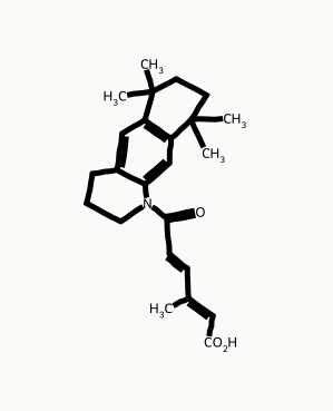 CC(/C=C/C(=O)N1CCCc2cc3c(cc21)C(C)(C)CCC3(C)C)=C\C(=O)O